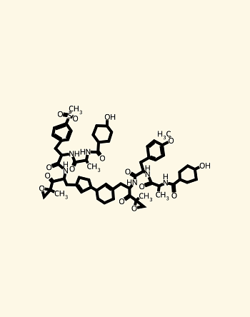 COc1ccc(CC(NC(=O)C(C)NC(=O)C2CCC(O)CC2)C(=O)NC(CC2=CC(C3C=C(CC(NC(=O)C(Cc4ccc(S(C)(=O)=O)cc4)NC(=O)C(C)NC(=O)C4CCC(O)CC4)C(=O)C4(C)CO4)CC3)CCC2)C(=O)C2(C)CO2)cc1